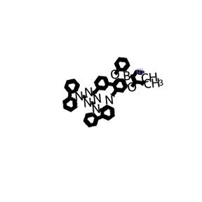 C#CC1=C(/C=C\C)B2c3ccccc3Oc3c2c(cc(C#N)c3-c2cccc(-c3nc(-n4c5ccccc5c5ccccc54)nc(-n4c5ccccc5c5ccccc54)n3)c2)O1